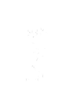 CC(C)C[C@H](NCC=Cc1ccc(-c2cc(C(N)=O)c(NC(N)=O)s2)cc1C(F)(F)F)C(=O)O